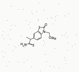 COCn1c(=O)sc2cc(C(C)C(N)=S)ccc21